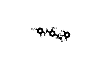 COc1cc(-c2nn(-c3c(Cl)cccc3Cl)c(=O)[nH]2)ccc1C(=O)Nc1ccc(C)cc1Cl